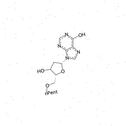 CCCCCOC[C@H]1O[C@@H](n2cnc3c(O)ncnc32)CC1O